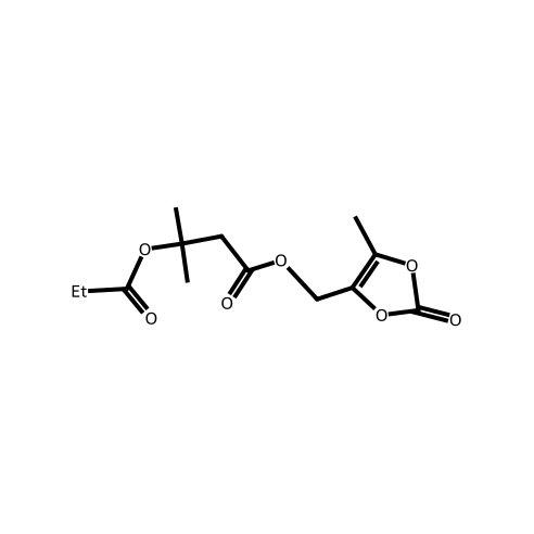 CCC(=O)OC(C)(C)CC(=O)OCc1oc(=O)oc1C